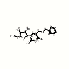 O=c1[nH]c(=O)n([C@H]2O[C@@H](CO)C(O)C2O)cc1COCc1ccccc1